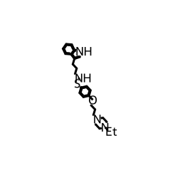 CCN1CCN(CCCOc2ccc(SNCCCc3c[nH]c4ccccc34)cc2)CC1